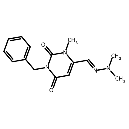 CN(C)N=Cc1cc(=O)n(Cc2ccccc2)c(=O)n1C